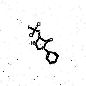 O=C1N(SC(F)(Cl)Cl)NCN1c1ccccc1